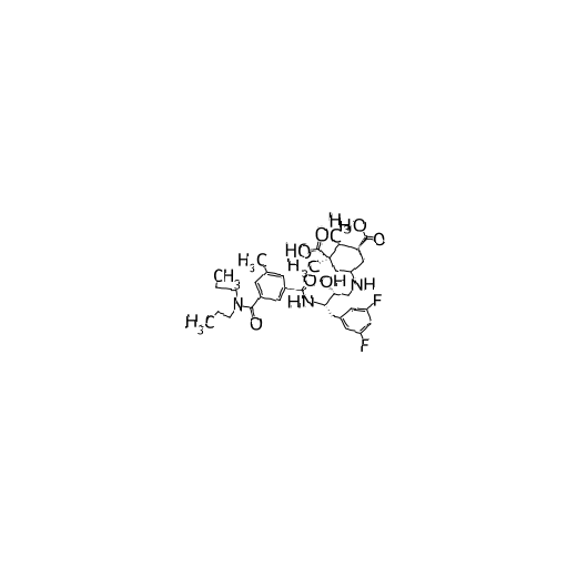 CCCN(CCC)C(=O)c1cc(C)cc(C(=O)N[C@@H](Cc2cc(F)cc(F)c2)[C@H](O)CNC2C[C@H](C(=O)O)C(C)[C@](C)(C(=O)O)C2)c1